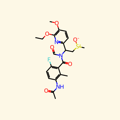 CCOc1nc(C(C[S+](C)[O-])N(C=O)C(=O)c2c(F)ccc(NC(C)=O)c2C)ccc1OC